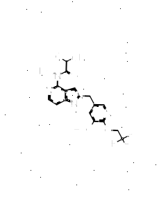 Cc1cc(Cn2cc3c(N(C)C(=O)C(C)C)nccc3n2)cnc1OCC(F)(F)F